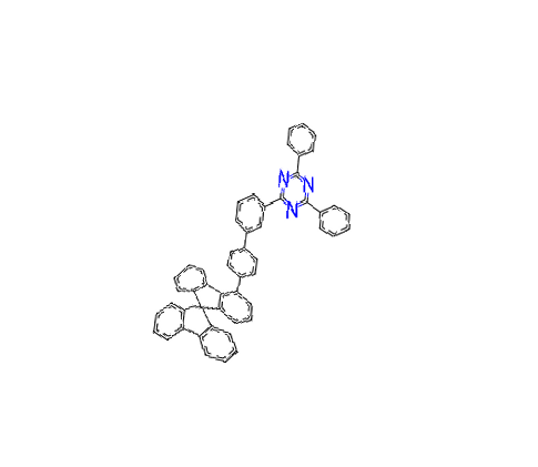 c1ccc(-c2nc(-c3ccccc3)nc(-c3cccc(-c4ccc(-c5cccc6c5-c5ccccc5C65c6ccccc6-c6ccccc65)cc4)c3)n2)cc1